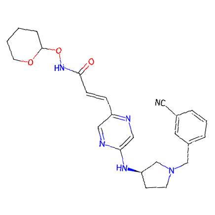 N#Cc1cccc(CN2CC[C@@H](Nc3cnc(/C=C/C(=O)NOC4CCCCO4)cn3)C2)c1